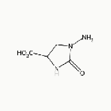 NN1CC(C(=O)O)NC1=O